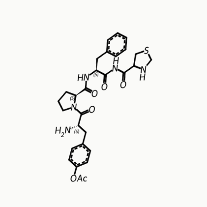 CC(=O)Oc1ccc(C[C@H](N)C(=O)N2CCC[C@H]2C(=O)N[C@@H](Cc2ccccc2)C(=O)NC(=O)C2CSCN2)cc1